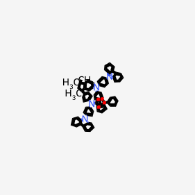 CC1(C)CC(C)(c2ccc(N(c3ccc(-c4ccccc4)cc3)c3ccc(-n4c5ccccc5c5ccccc54)cc3)cc2)c2cc(N(c3ccc(-c4ccccc4)cc3)c3ccc(-n4c5ccccc5c5ccccc54)cc3)ccc21